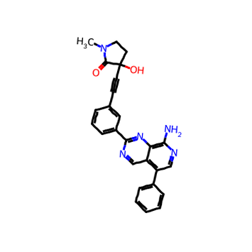 CN1CCC(O)(C#Cc2cccc(-c3ncc4c(-c5ccccc5)cnc(N)c4n3)c2)C1=O